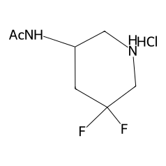 CC(=O)NC1CNCC(F)(F)C1.Cl